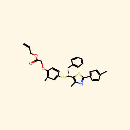 C=CCOC(=O)COc1ccc(S[C@H](Cc2ccccc2)c2sc(-c3ccc(C)cc3)nc2C)cc1C